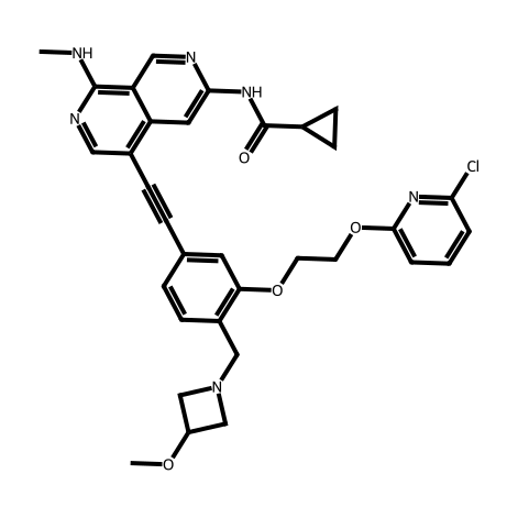 CNc1ncc(C#Cc2ccc(CN3CC(OC)C3)c(OCCOc3cccc(Cl)n3)c2)c2cc(NC(=O)C3CC3)ncc12